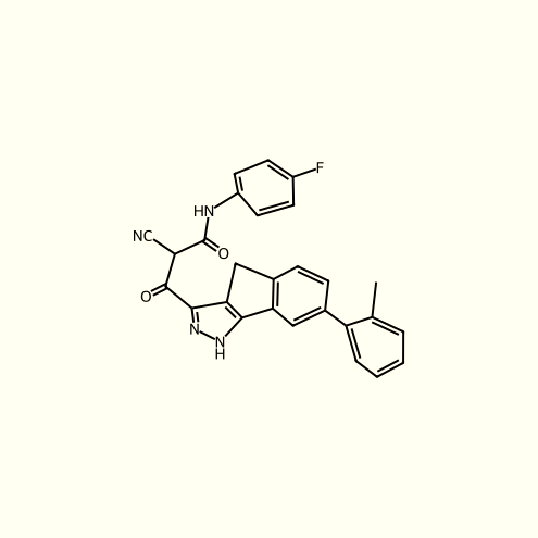 Cc1ccccc1-c1ccc2c(c1)-c1[nH]nc(C(=O)C(C#N)C(=O)Nc3ccc(F)cc3)c1C2